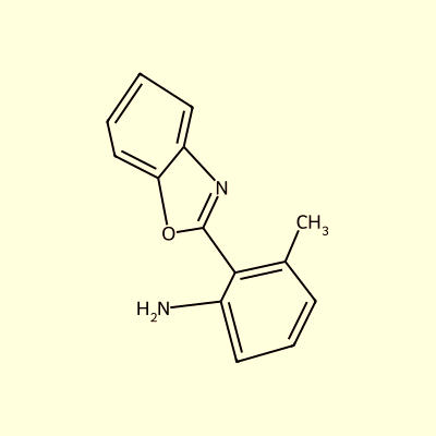 Cc1cccc(N)c1-c1nc2ccccc2o1